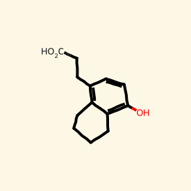 O=C(O)CCc1ccc(O)c2c1CCCC2